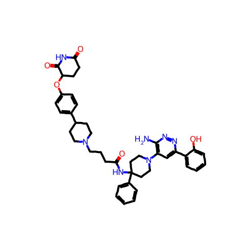 Nc1nnc(-c2ccccc2O)cc1N1CCC(NC(=O)CCCN2CCC(c3ccc(OC4CCC(=O)NC4=O)cc3)CC2)(c2ccccc2)CC1